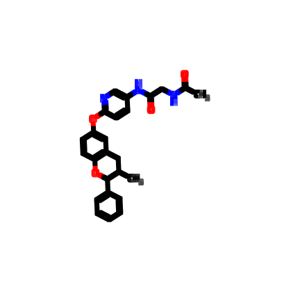 CC(=O)NCC(=O)Nc1ccc(Oc2ccc3c(c2)CC(C)C(c2ccccc2)O3)nc1